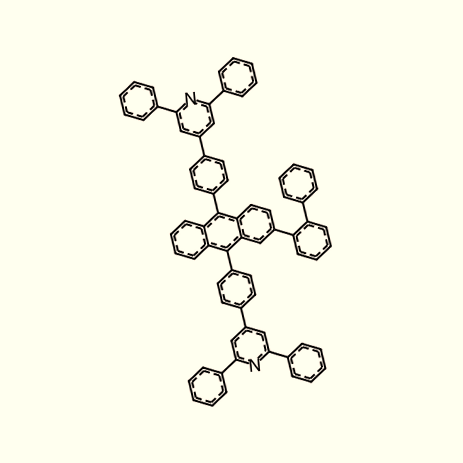 c1ccc(-c2cc(-c3ccc(-c4c5ccccc5c(-c5ccc(-c6cc(-c7ccccc7)nc(-c7ccccc7)c6)cc5)c5cc(-c6ccccc6-c6ccccc6)ccc45)cc3)cc(-c3ccccc3)n2)cc1